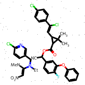 CC1(C)C(/C=C(\Cl)c2ccc(Cl)cc2)C1C(=O)OC(C#N)c1ccc(F)c(Oc2ccccc2)c1.CCN(Cc1ccc(Cl)nc1)/C(=C/[N+](=O)[O-])NC